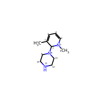 CC1=CC=CN(C)C1N1CCNCC1